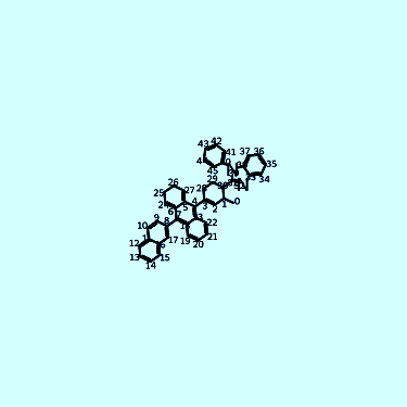 CC1C=C(c2c3c(c(-c4ccc5ccccc5c4)c4ccccc24)=CCCC=3)CCC1c1nc2ccccc2n1-c1ccccc1